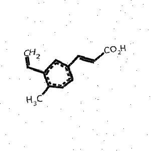 C=Cc1cc(C=CC(=O)O)ccc1C